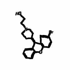 OCCN1CCC(=C2c3ccccc3Oc3ccc(Br)cc32)CC1